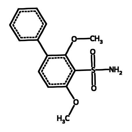 COc1ccc(-c2ccccc2)c(OC)c1S(N)(=O)=O